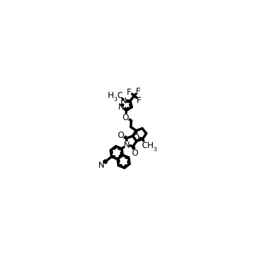 Cn1nc(OCCC23CCC(C)(O2)C2C(=O)N(c4ccc(C#N)c5ccccc45)C(=O)C23)cc1C(F)(F)F